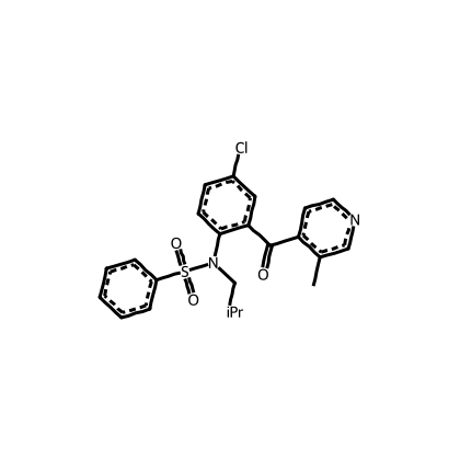 Cc1cnccc1C(=O)c1cc(Cl)ccc1N(CC(C)C)S(=O)(=O)c1ccccc1